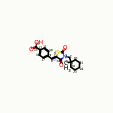 CC1(CN2C(=O)S/C(=C\c3ccc(C(=O)O)cc3)C2=O)CCCCC1